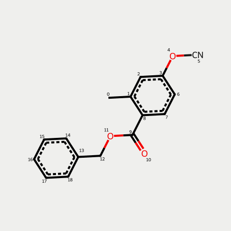 Cc1cc(OC#N)ccc1C(=O)OCc1ccccc1